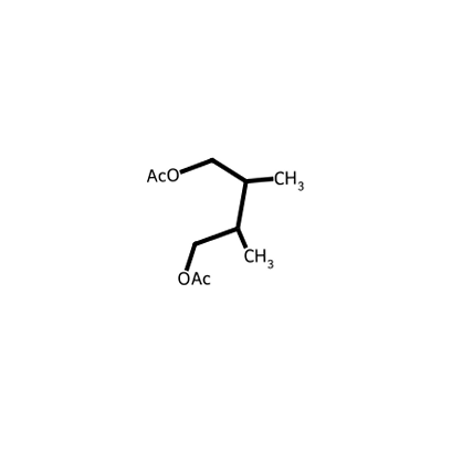 CC(=O)OCC(C)C(C)COC(C)=O